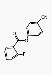 N#Cc1ccc(OC(=O)c2ccccc2F)cc1